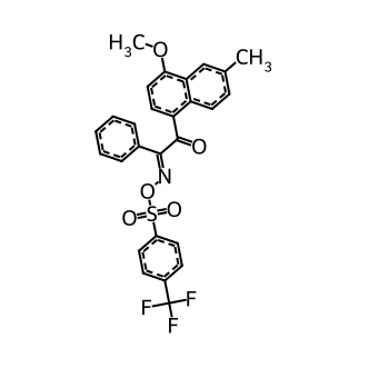 COc1ccc(C(=O)/C(=N/OS(=O)(=O)c2ccc(C(F)(F)F)cc2)c2ccccc2)c2ccc(C)cc12